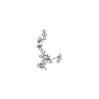 CC(C)C(NC(=O)CCCCCN1C(=O)C=CC1=O)C(=O)N[C@@H](CCCNC(N)=O)C(=O)Nc1ccc(COC(=O)N(C)CCN(C)C(=O)Oc2ccc3ccc(=O)oc3c2)cc1